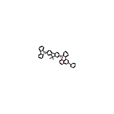 CC1(C)c2cc(N(c3ccccc3)c3ccccc3-c3cccc(-c4ccccc4)c3)ccc2-c2ccc(-n3c4ccccc4c4ccccc43)cc21